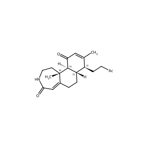 CC(=O)CC[C@@H]1C(C)=CC(=O)[C@H]2[C@H]1CCC1=CC(=O)NCC[C@@]12C